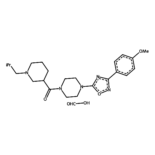 COc1ccc(-c2noc(N3CCN(C(=O)C4CCCN(CC(C)C)C4)CC3)n2)cc1.O=CO